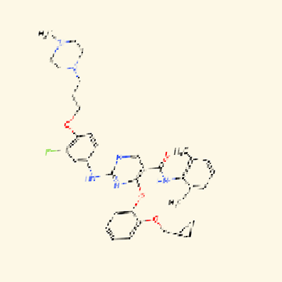 Cc1cccc(C)c1NC(=O)c1cnc(Nc2ccc(OCCCN3CCN(C)CC3)c(F)c2)nc1Oc1ccccc1OCC1CC1